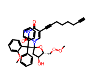 C#CCCCCC#Cc1cn([C@@]2(C(c3ccccc3)(c3ccccc3)c3ccccc3OC)C[C@H](O)[C@@H](COOC)O2)c(=O)[nH]c1=O